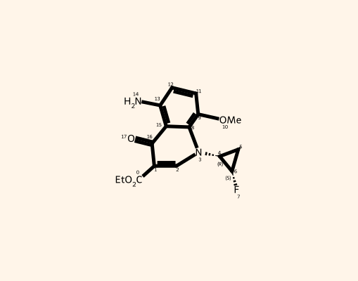 CCOC(=O)c1cn([C@@H]2C[C@@H]2F)c2c(OC)ccc(N)c2c1=O